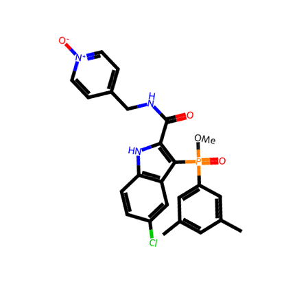 COP(=O)(c1cc(C)cc(C)c1)c1c(C(=O)NCc2cc[n+]([O-])cc2)[nH]c2ccc(Cl)cc12